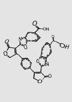 O=C1OCC(c2ccc(C3=C(c4nc5cc(C(=O)O)ccc5o4)C(=O)OC3)cc2)=C1c1nc2cc(C(=O)O)ccc2o1